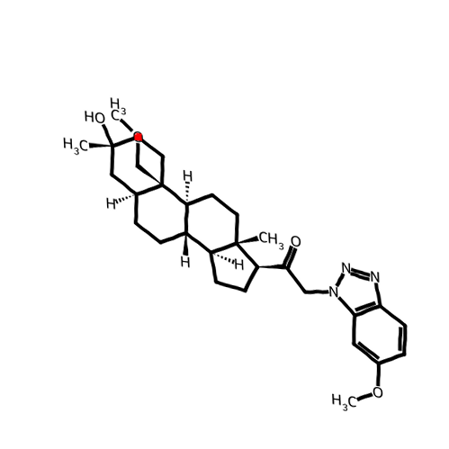 COC[C@]12CC[C@@](C)(O)C[C@@H]1CC[C@H]1[C@@H]3CC[C@H](C(=O)Cn4nnc5ccc(OC)cc54)[C@@]3(C)CC[C@@H]12